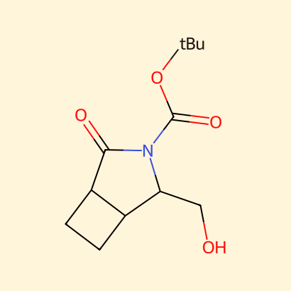 CC(C)(C)OC(=O)N1C(=O)C2CCC2C1CO